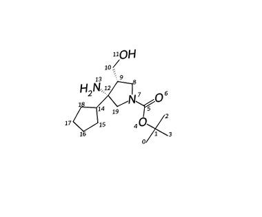 CC(C)(C)OC(=O)N1C[C@@H](CO)[C@](N)(C2CCCC2)C1